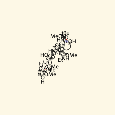 CCN[C@H]1CO[C@@H](O[C@H]2[C@H](O[C@H]3C#CC=CC#C[C@]4(O)CC(=O)C(NC(=O)OC)=C3/C4=C\CSSC(C)(C)C)O[C@H](C)[C@@H](NO[C@H]3C[C@H](O)[C@H](SC(=O)c4c(C)c(I)c(O[C@@H]5O[C@@H](C)[C@H](O)[C@@H](OC)[C@H]5O)c(OC)c4OC)[C@@H](C)O3)[C@@H]2O)C[C@@H]1OC